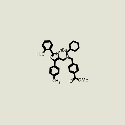 CCCCn1c(-c2ccccc2C)nc(-c2ccc(C)cc2)c1CN(Cc1ccc(C(=O)OC)cc1)CC1CCCCC1